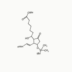 CCCCCCC=CC1C(O[Si](C)(C)C(C)(C)C)CC(=O)C1C(O)CCCCCC(=O)OC